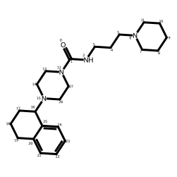 O=C(NCCCN1CCCCC1)N1CCN(C2CCCc3ccccc32)CC1